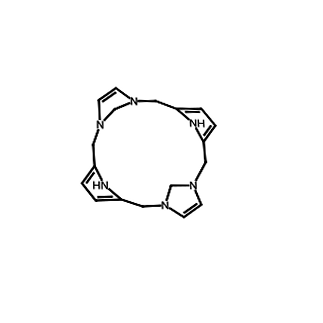 C1=CN2Cc3ccc([nH]3)CN3C=CN(Cc4ccc([nH]4)CN1C2)C3